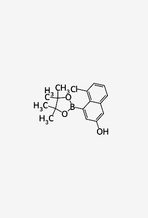 CC1(C)OB(c2cc(O)cc3cccc(Cl)c23)OC1(C)C